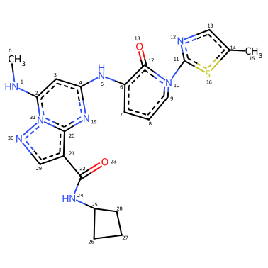 CNc1cc(Nc2cccn(-c3ncc(C)s3)c2=O)nc2c(C(=O)NC3CCC3)cnn12